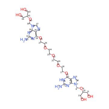 NC1=Nc2c(ncn2COC(CO)CO)C(OCCOCCOCCOCCOc2nc(N)nc3c2ncn3COC(CO)CO)N1